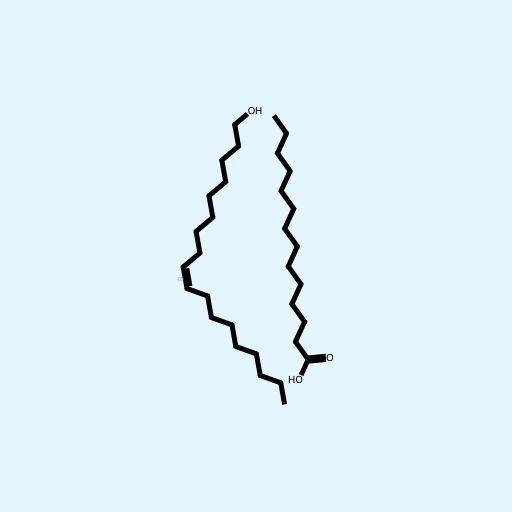 CCCCCCCC/C=C\CCCCCCCCO.CCCCCCCCCCCCCC(=O)O